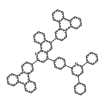 c1ccc(-c2cc(-c3ccccc3)nc(-c3ccc(-c4cc(-c5ccc6c7ccccc7c7ccccc7c6c5)nc5c4cc(-c4ccc6c7ccccc7c7ccccc7c6c4)c4ccccc45)cc3)c2)cc1